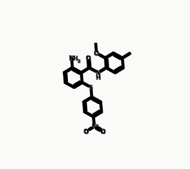 COc1cc(C)ccc1NC(=O)c1c(N)cccc1Sc1ccc([N+](=O)[O-])cc1